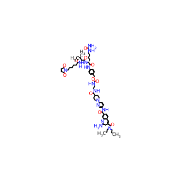 CCCN(CCC)C(=O)C1=Cc2ccc(C(=O)Nc3ccc(N4CCC(C(=O)NCCNC(=O)OCc5ccc(NC(=O)[C@H](CCCCNC(N)=O)NC(=O)[C@@H](NC(=O)CCCCCN6C(=O)C=CC6=O)C(C)C)cc5)CC4)nc3)cc2N=C(N)C1